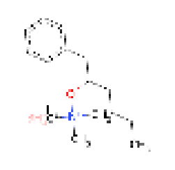 CCCCC(Cc1ccccc1)O[N+](C)(C)C.[BH4-]